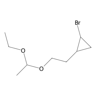 CCOC(C)OCCC1CC1Br